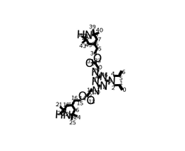 C=CCN(CC=C)c1nc(N=CC(=O)OCCC2CC(C)(C)NC(C)(C)C2)nc(N=CC(=O)OCCC2CC(C)(C)NC(C)(C)C2)n1